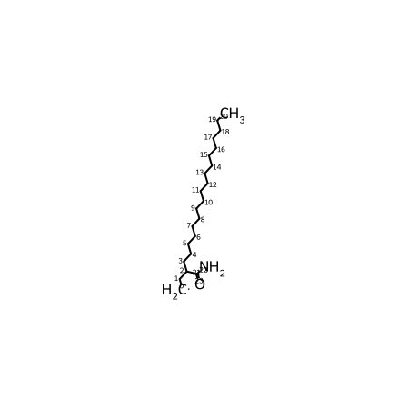 [CH2]CC(CCCCCCCCCCCCCCCCCC)C(N)=O